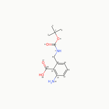 CC(C)(C)OC(=O)NCc1cccc(N)c1C(=O)O